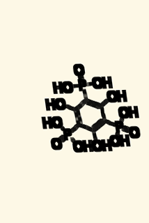 O=P(O)(O)c1c(O)c(P(=O)(O)O)c(O)c(P(=O)(O)O)c1O